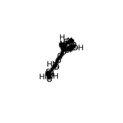 C[C@]1(CC(=O)Nc2nccs2)NCCc2cc(OCCOCCOCCNC(=O)CCCC[C@@H]3SCC4NC(=O)N[C@@H]43)c(Oc3ccc(C(=O)O)cc3)cc21